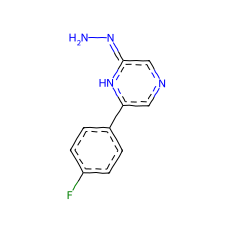 N/N=c1/cncc(-c2ccc(F)cc2)[nH]1